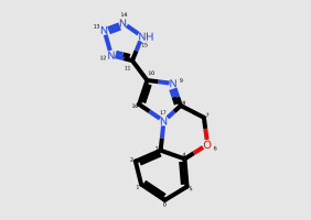 c1ccc2c(c1)OCc1nc(-c3nnn[nH]3)cn1-2